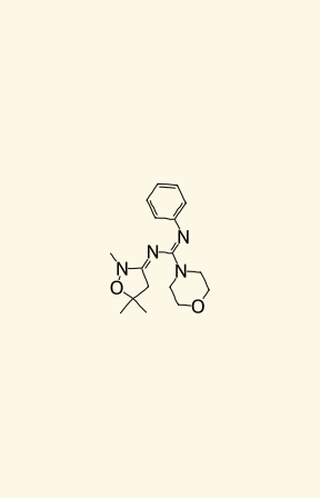 CN1OC(C)(C)CC1=NC(=Nc1ccccc1)N1CCOCC1